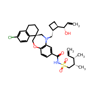 C=C[C@H](C)[C@H](C)CS(=O)(=O)NC(=O)c1ccc2c(c1)N(C[C@@H]1CC[C@H]1[C@@H](O)C=C)C[C@@]1(CCCc3cc(Cl)ccc31)CO2